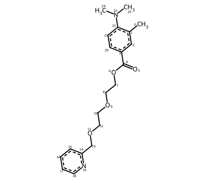 Cc1cc(C(=O)OCCOCCOCc2ccccn2)ccc1N(C)C